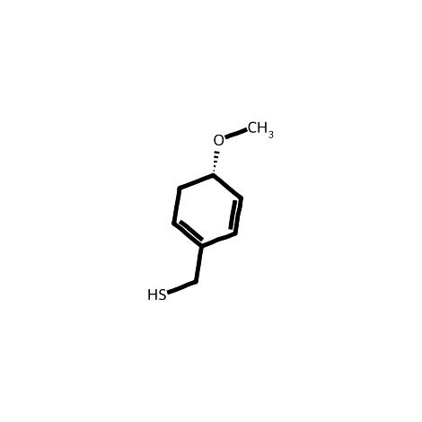 CO[C@@H]1C=CC(CS)=CC1